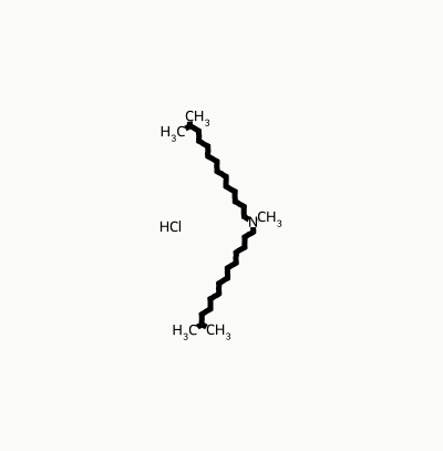 CC(C)CCCCCCCCCCCCN(C)CCCCCCCCCCCCC(C)C.Cl